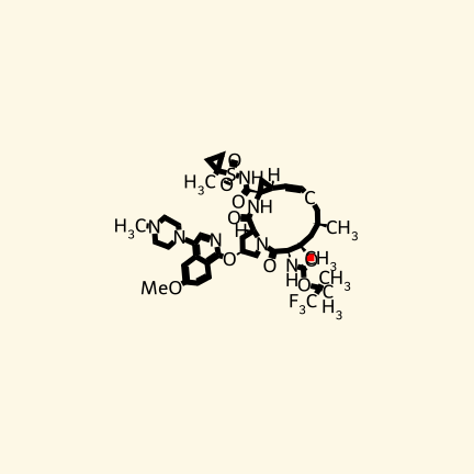 COc1ccc2c(O[C@@H]3C[C@H]4C(=O)N[C@]5(C(=O)NS(=O)(=O)C6(C)CC6)C[C@H]5/C=C\CC[C@@H](C)C[C@@H](C)[C@H](NC(=O)OC(C)(C)C(F)(F)F)C(=O)N4C3)ncc(N3CCN(C)CC3)c2c1